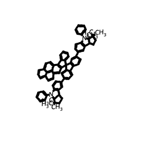 CC1(C)CCC2c3cc(-c4ccc5c(c4)C4(c6cc(-c7ccc8c(c7)C7CCC(C)(C)C7(C)N8c7ccccc7)ccc6-5)c5ccccc5-c5c4cc4ccc6cccc7ccc5c4c67)ccc3N(c3ccccc3)C21C